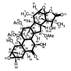 CO[C@H]1[C@@H]2[C@H]([C@H](C)[C@H]3O[C@]34OC(=O)[C@@](C)(O)[C@]24C)[C@]2(C)[C@@H]1C1C([C@H](OC(C)=O)[C@@H]2OC(C)=O)[C@]2(C)[C@H](C[C@@H]3O[C@@H]3[C@@H]2O)C(=O)[C@@H]1O